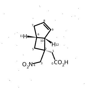 O=C(O)C[C@]1(C[N+](=O)[O-])C[C@@H]2CC=C[C@@H]21